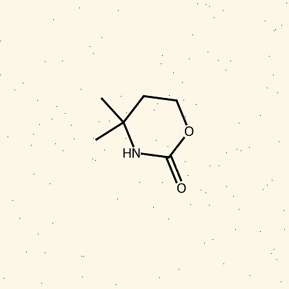 CC1(C)CCOC(=O)N1